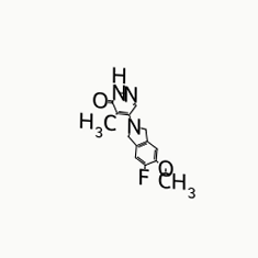 COc1cc2c(cc1F)CN(c1cn[nH]c(=O)c1C)C2